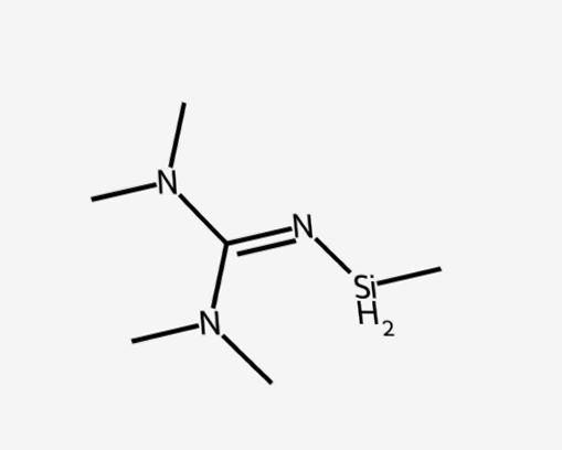 C[SiH2]N=C(N(C)C)N(C)C